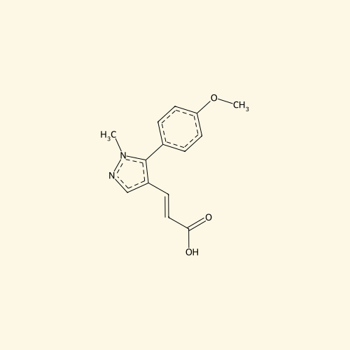 COc1ccc(-c2c(/C=C/C(=O)O)cnn2C)cc1